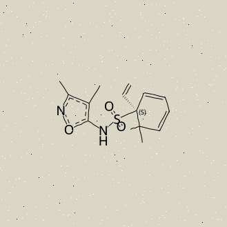 C=C[C@]1(S(=O)(=O)Nc2onc(C)c2C)C=CC=CC1(C)C